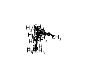 CCCCc1ccc(-c2ccc(C(=O)N[C@@H](CCNC(=O)OC(C)(C)C)C(=O)N[C@H](C(=O)N[C@@H](N)C(=O)N[C@@H](CCCCNC(=O)OC(C)(C)C)C(=O)O)[C@@H](C)O)cc2)cc1